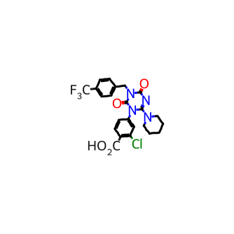 O=C(O)c1ccc(-n2c(N3CCCCC3)nc(=O)n(Cc3ccc(C(F)(F)F)cc3)c2=O)cc1Cl